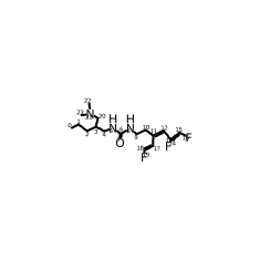 CCCC(CNC(=O)NCCC(=C/C(F)=C/F)/C=C/F)CN(C)C